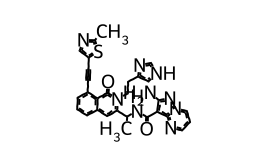 Cc1ncc(C#Cc2cccc3cc(C(C)NC(=O)c4c(N)nn5cccnc45)n(CCc4c[nH]cn4)c(=O)c23)s1